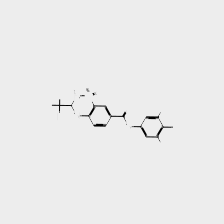 CN1C(C(F)(F)F)Nc2ccc(C(=O)Nc3cc(F)c(F)c(F)c3)cc2S1(=O)=O